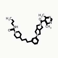 CCCNC(=O)N1CCC(CCCc2cccc(N3CC4CN(C(=O)c5c(C)ncnc5C)CC4C3)c2)CC1